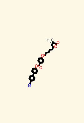 C=C1CC(CCCCCOc2ccc(C(=O)Oc3ccc(-c4ccc(C#N)cc4)cc3)cc2)OC1=O